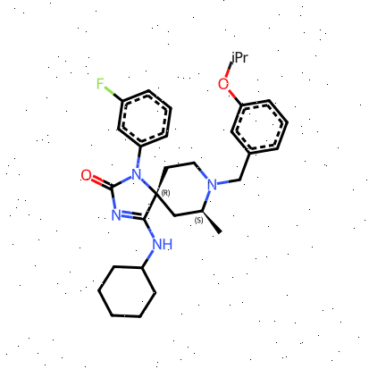 CC(C)Oc1cccc(CN2CC[C@@]3(C[C@@H]2C)C(NC2CCCCC2)=NC(=O)N3c2cccc(F)c2)c1